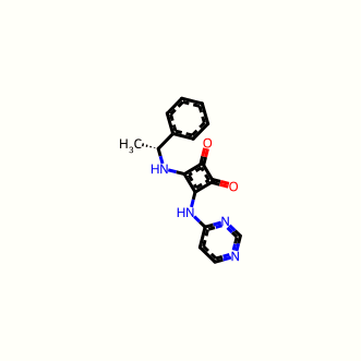 C[C@@H](Nc1c(Nc2ccncn2)c(=O)c1=O)c1ccccc1